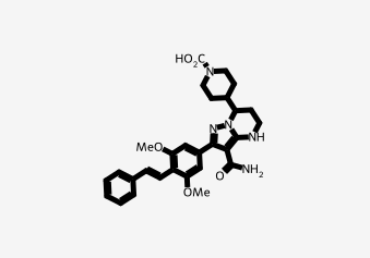 COc1cc(-c2nn3c(c2C(N)=O)NCCC3C2CCN(C(=O)O)CC2)cc(OC)c1C=Cc1ccccc1